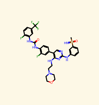 CS(=N)(=O)c1cccc(Nc2ncc(-c3ccc(NC(=O)Nc4cc(C(F)(F)F)ccc4F)c(F)c3)c(NCCN3CCOCC3)n2)c1